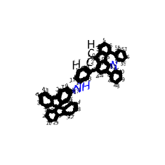 CC1(C)c2cccc3c2-c2c1c(-c1cccc(Nc4ccc5c(c4)C4(c6ccccc6-c6ccccc64)c4ccccc4-5)c1)cc1c4ccccc4n(c21)-c1ccccc1-3